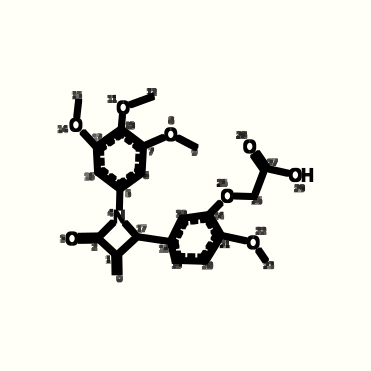 C=C1C(=O)N(c2cc(OC)c(OC)c(OC)c2)C1c1ccc(OC)c(OCC(=O)O)c1